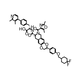 Cc1nc(C(=O)N2Cc3cc4c(cc3C[C@H]2C(=O)N[C@@H](Cc2ccc(-c3ccnc(C)c3C)cc2)C(=O)O)OC[C@H](c2ccc(OCC3CCC(F)(F)CC3)cc2)O4)c(C)o1